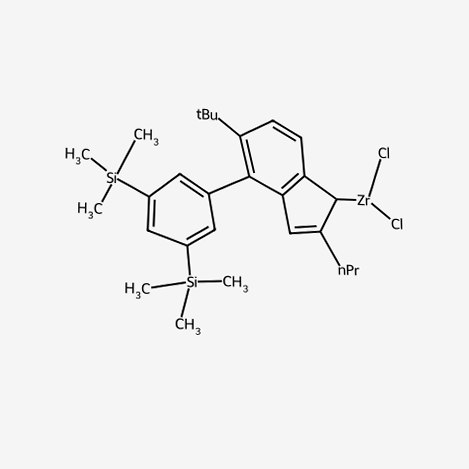 CCCC1=Cc2c(ccc(C(C)(C)C)c2-c2cc([Si](C)(C)C)cc([Si](C)(C)C)c2)[CH]1[Zr]([Cl])[Cl]